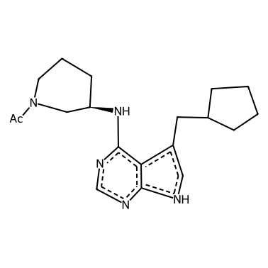 CC(=O)N1CCC[C@@H](Nc2ncnc3[nH]cc(CC4CCCC4)c23)C1